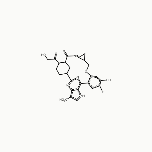 NC(=O)C1CC(c2nc(-c3cc(F)c(O)cc3OCC3CC3)c3[nH]cc(C(=O)O)c3n2)CCN1C(=O)CO